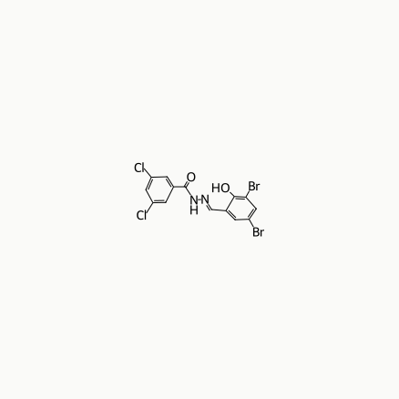 O=C(N/N=C/c1cc(Br)cc(Br)c1O)c1cc(Cl)cc(Cl)c1